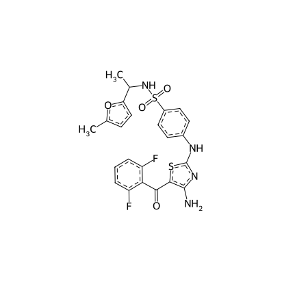 Cc1ccc(C(C)NS(=O)(=O)c2ccc(Nc3nc(N)c(C(=O)c4c(F)cccc4F)s3)cc2)o1